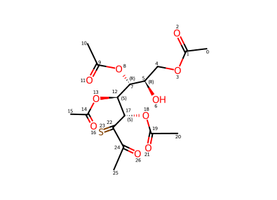 CC(=O)OC[C@@H](O)[C@@H](OC(C)=O)[C@H](OC(C)=O)[C@H](OC(C)=O)C(=S)C(C)=O